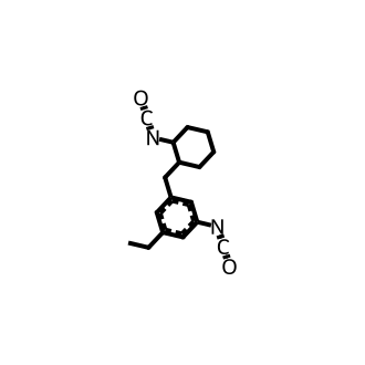 CCc1cc(CC2CCCCC2N=C=O)cc(N=C=O)c1